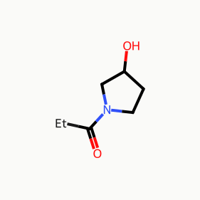 CCC(=O)N1CCC(O)C1